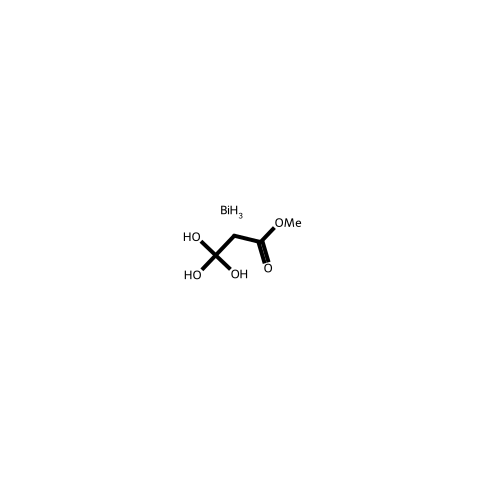 COC(=O)CC(O)(O)O.[BiH3]